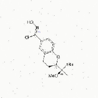 CO[C@@](C)([C@H]1CCc2cc(/C(Cl)=N/O)ccc2O1)C(C)(C)C